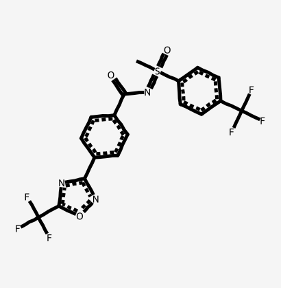 CS(=O)(=NC(=O)c1ccc(-c2noc(C(F)(F)F)n2)cc1)c1ccc(C(F)(F)F)cc1